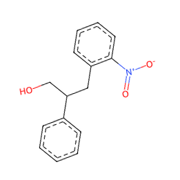 O=[N+]([O-])c1ccccc1CC(CO)c1ccccc1